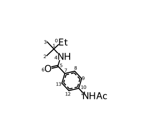 CCC(C)(C)NC(=O)c1ccc(NC(C)=O)cc1